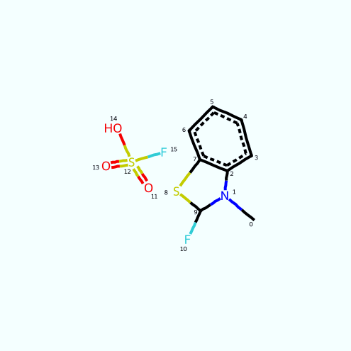 CN1c2ccccc2SC1F.O=S(=O)(O)F